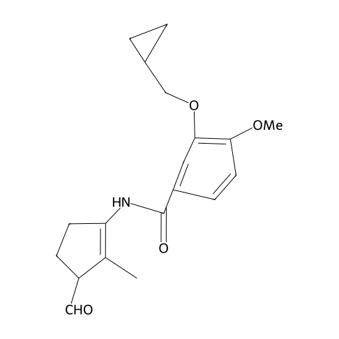 COc1ccc(C(=O)NC2=C(C)C(C=O)CC2)cc1OCC1CC1